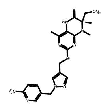 COC[C@@]1(C)C(=O)Nc2c(C)nc(NCc3cnn(Cc4ccc(C(F)(F)F)nc4)c3)nc2N1C